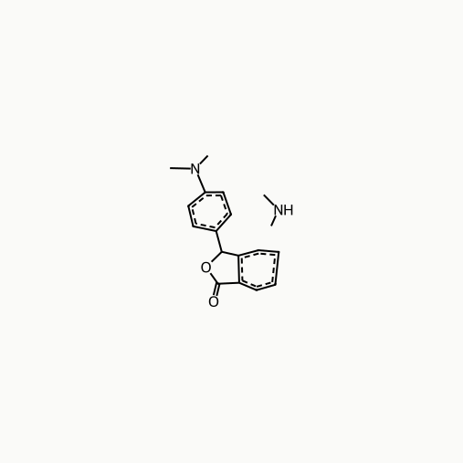 CN(C)c1ccc(C2OC(=O)c3ccccc32)cc1.CNC